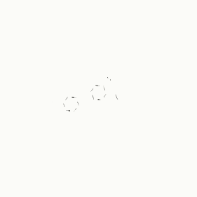 O=C(OCCCCl)c1cc(Oc2ccc(C(F)(F)F)cc2Cl)ccc1[N+](=O)[O-]